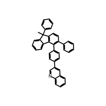 CC1(c2ccccc2)c2ccccc2-c2c1ccc(-c1ccccc1)c2-c1ccc(-c2cnc3ccccc3c2)cc1